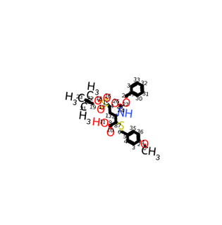 COc1ccc(CSC(C(=O)O)C(CCS(=O)(=O)OCC(C)(C)C)NC(=O)OCc2ccccc2)cc1